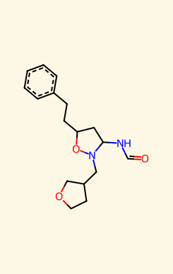 O=CNC1CC(CCc2ccccc2)ON1CC1CCOC1